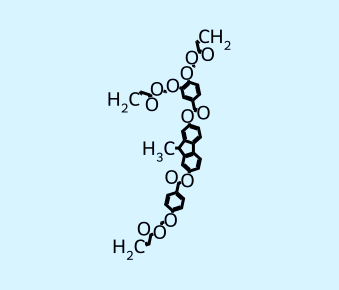 C=CC(=O)OCOc1ccc(C(=O)Oc2ccc3c(c2)C(C)c2cc(OC(=O)c4ccc(OCOC(=O)C=C)c(OCOC(=O)C=C)c4)ccc2-3)cc1